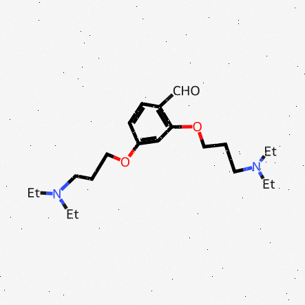 CCN(CC)CCCOc1ccc(C=O)c(OCCCN(CC)CC)c1